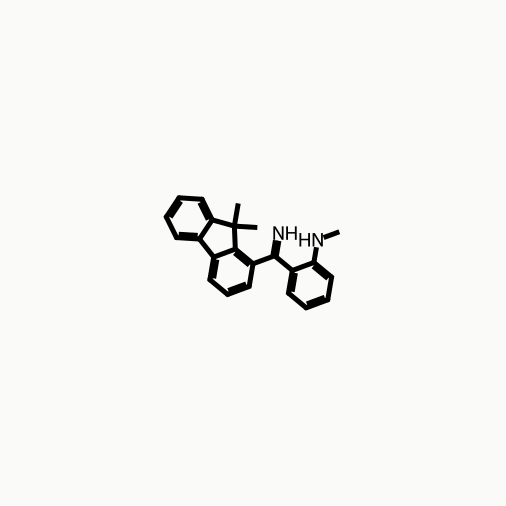 CNc1ccccc1C(=N)c1cccc2c1C(C)(C)c1ccccc1-2